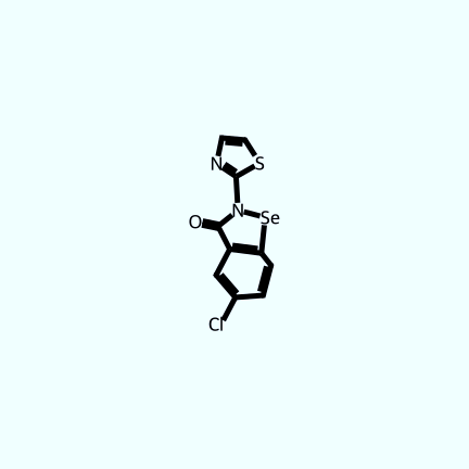 O=c1c2cc(Cl)ccc2[se]n1-c1nccs1